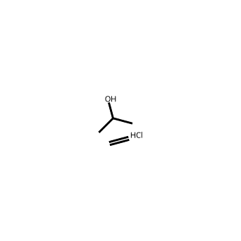 C=C.CC(C)O.Cl